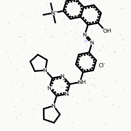 C[N+](C)(C)c1ccc2ccc(O)c(/N=N/c3ccc(Nc4nc(N5CCCC5)nc(N5CCCC5)n4)cc3)c2c1.[Cl-]